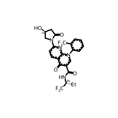 CC[C@@H](NC(=O)c1cn(-c2ccccc2C(F)(F)F)c2nc(N3C[C@@H](O)CC3=O)ccc2c1=O)C(F)(F)F